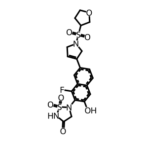 O=C1CN(c2c(O)cc3ccc(C4=CCN(S(=O)(=O)C5CCOC5)C4)cc3c2F)S(=O)(=O)N1